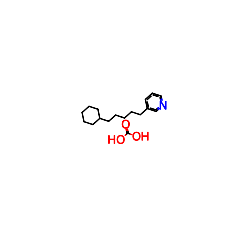 O=C(O)O.c1cncc(CCCCCC2CCCCC2)c1